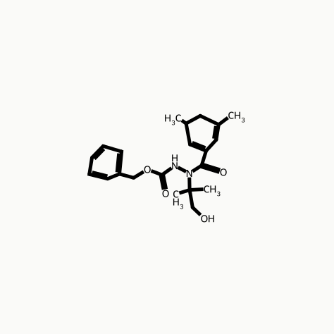 CC1=CC(C(=O)N(NC(=O)OCc2ccccc2)C(C)(C)CO)=CC(C)C1